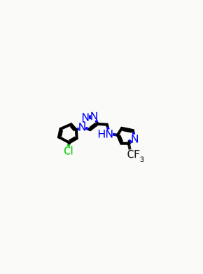 FC(F)(F)c1cc(NCc2cn(-c3cccc(Cl)c3)nn2)ccn1